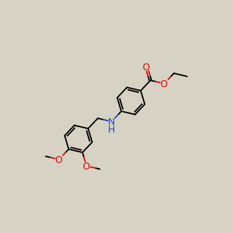 CCOC(=O)c1ccc(NCc2ccc(OC)c(OC)c2)cc1